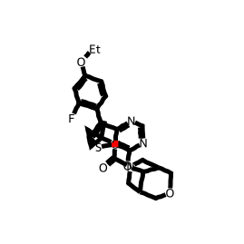 CCOc1ccc(-c2csc3c(OC4C5COCC4CN(C(=O)OC4(C)CC4)C5)ncnc23)c(F)c1